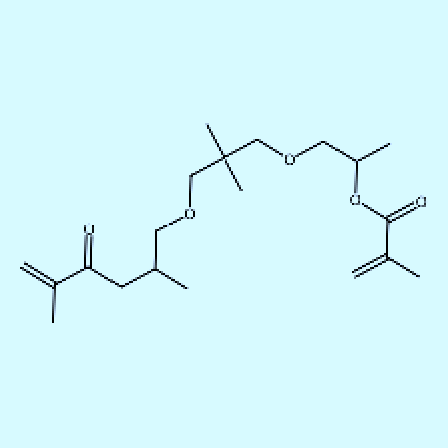 C=C(C)C(=O)CC(C)COCC(C)(C)COCC(C)OC(=O)C(=C)C